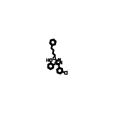 Oc1ccccc1-n1c(OCCCCc2ccccc2)nnc1-c1cccc(Cl)c1